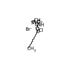 CCCCCCCCCCCCCCOc1ccc(C(=O)Nc2ccccc2C[n+]2cscc2C)cc1Cl.[Br-]